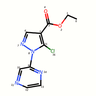 CCOC(=O)c1cnn(-c2cnccn2)c1Cl